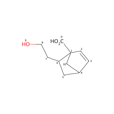 O=C(O)C12C=CC(CC1CCO)C2